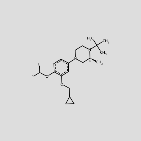 C[C@H]1CN(c2ccc(OC(F)F)c(OCC3CC3)c2)CCN1C(C)(C)C